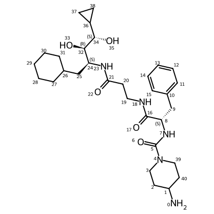 NC1CCN(C(=O)N[C@@H](Cc2ccccc2)C(=O)NCCC(=O)N[C@@H](CC2CCCCC2)[C@@H](O)[C@@H](O)C2CC2)CC1